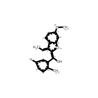 CC=c1/c(=C(/O)c2cc(F)ccc2C)oc2cc(OC)ccc12